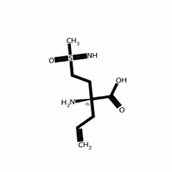 C=CC[C@](N)(CCS(C)(=N)=O)C(=O)O